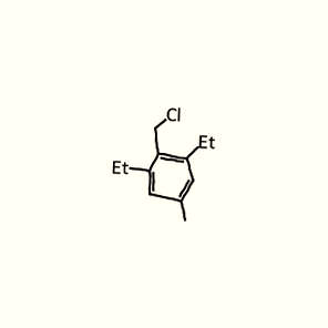 CCc1cc(C)cc(CC)c1CCl